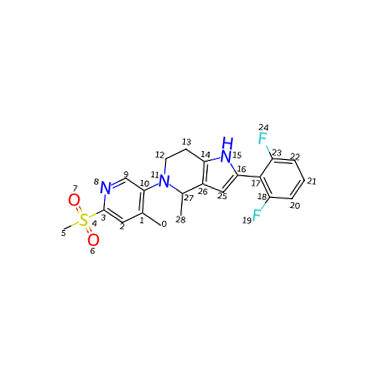 Cc1cc(S(C)(=O)=O)ncc1N1CCc2[nH]c(-c3c(F)cccc3F)cc2C1C